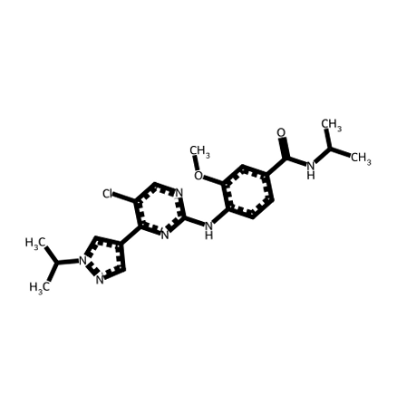 COc1cc(C(=O)NC(C)C)ccc1Nc1ncc(Cl)c(-c2cnn(C(C)C)c2)n1